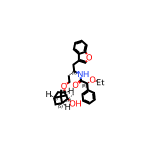 CCO[C@@H](C(=O)N[C@H](CCO[C@@H]1C[C@@H]2C[C@@H](C2(C)C)[C@]1(C)O)Cc1coc2ccccc12)c1ccccc1